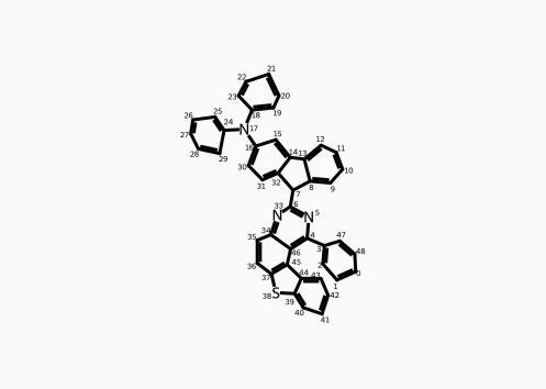 c1ccc(-c2nc(C3c4ccccc4-c4cc(N(c5ccccc5)c5ccccc5)ccc43)nc3ccc4sc5ccccc5c4c23)cc1